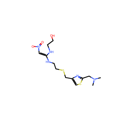 CN(C)Cc1nc(CSCCNC(=C[N+](=O)[O-])NCCO)cs1